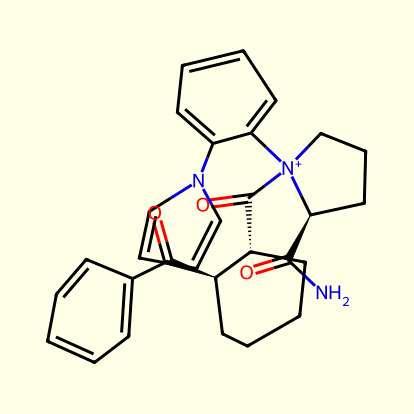 NC(=O)[C@@H]1CCC[N+]1(C(=O)[C@@H]1CCCC[C@H]1C(=O)c1ccccc1)c1ccccc1-n1cccc1